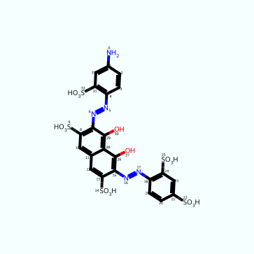 Nc1ccc(/N=N/c2c(S(=O)(=O)O)cc3cc(S(=O)(=O)O)c(/N=N/c4ccc(S(=O)(=O)O)cc4S(=O)(=O)O)c(O)c3c2O)c(S(=O)(=O)O)c1